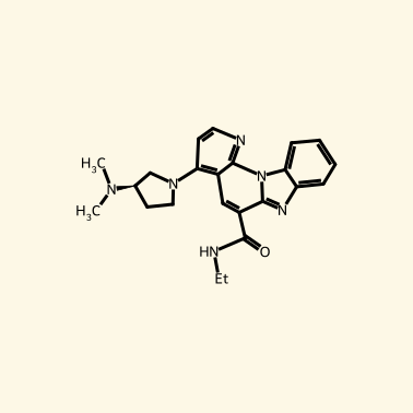 CCNC(=O)c1cc2c(N3CC[C@@H](N(C)C)C3)ccnc2n2c1nc1ccccc12